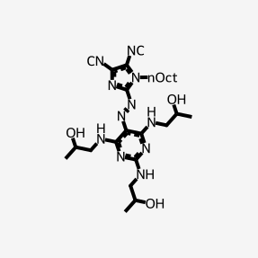 [C-]#[N+]c1nc(N=Nc2c(NCC(C)O)nc(NCC(C)O)nc2NCC(C)O)n(CCCCCCCC)c1[N+]#[C-]